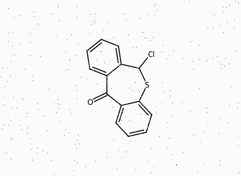 O=C1c2ccccc2SC(Cl)c2ccccc21